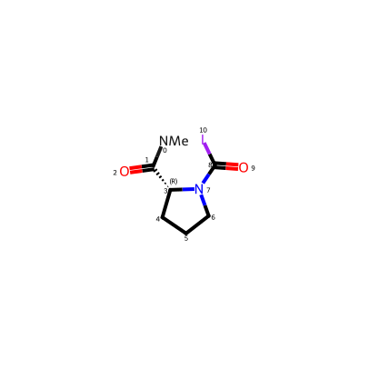 CNC(=O)[C@H]1CCCN1C(=O)I